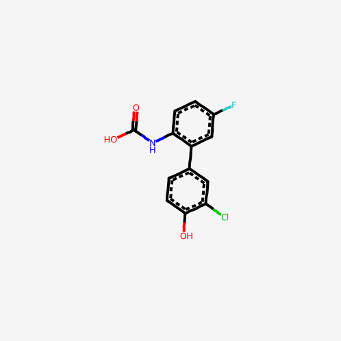 O=C(O)Nc1ccc(F)cc1-c1ccc(O)c(Cl)c1